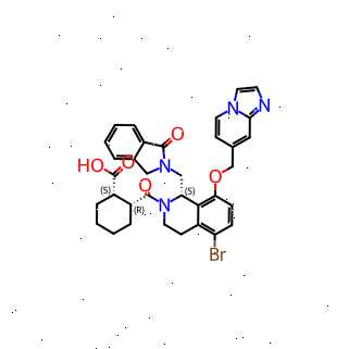 O=C(O)[C@H]1CCCC[C@H]1C(=O)N1CCc2c(Br)ccc(OCc3ccn4ccnc4c3)c2[C@H]1CN1Cc2ccccc2C1=O